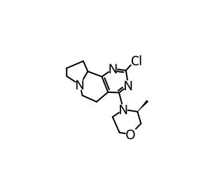 C[C@H]1COCCN1c1nc(Cl)nc2c1CCN1CCCC21